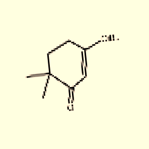 CC(C)COC1=CC(=O)C(C)(C)CC1